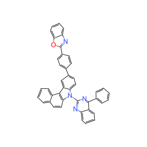 c1ccc(-c2nc(-n3c4ccc(-c5ccc(-c6nc7ccccc7o6)cc5)cc4c4c5ccccc5ccc43)nc3ccccc23)cc1